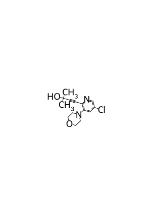 CC(C)(O)C#Cc1ncc(Cl)cc1N1CCOCC1